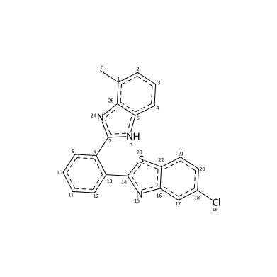 Cc1cccc2[nH]c(-c3ccccc3-c3nc4cc(Cl)ccc4s3)nc12